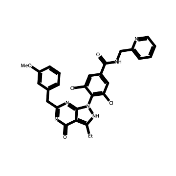 CCc1[nH]n(-c2c(Cl)cc(C(=O)NCc3ccccn3)cc2Cl)c2nc(Cc3cccc(OC)c3)nc(=O)c1-2